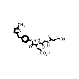 CCC(C)SCC(=O)NCC(=O)N[C@@H](CCC(=O)O)C(=O)Nc1ccc(Cc2ccc(C)s2)cc1